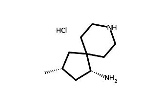 C[C@H]1C[C@@H](N)C2(CCNCC2)C1.Cl